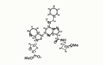 COC(=O)[C@H]1C[C@@H](n2cc(-c3cc(N(C)Cc4ccccc4)n4ncc(C(=O)N[C@H]5CC[C@@H]5OC)c4n3)c3cccnc32)CO1